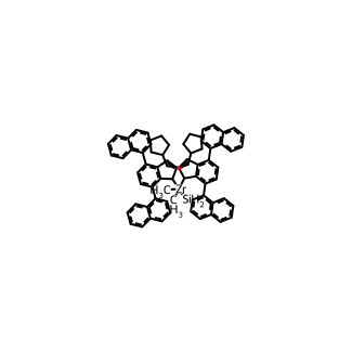 [CH3][Zr]([CH3])(=[SiH2])([CH]1C(CC2CCCC2)=Cc2c(-c3cccc4ccccc34)ccc(-c3cccc4ccccc34)c21)[CH]1C(CC2CCCC2)=Cc2c(-c3cccc4ccccc34)ccc(-c3cccc4ccccc34)c21